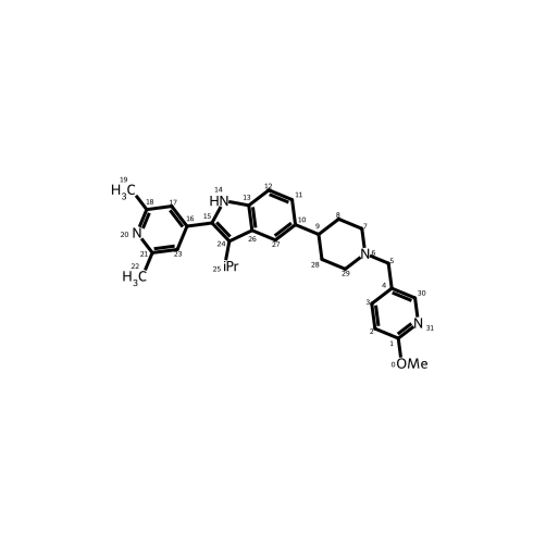 COc1ccc(CN2CCC(c3ccc4[nH]c(-c5cc(C)nc(C)c5)c(C(C)C)c4c3)CC2)cn1